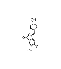 COc1cc2c(cc1OC)C(=Cc1ccc(O)cc1)OC2=O